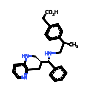 C[C@@H](CN[C@H](c1ccccc1)[C@H]1CNc2cccnc2C1)c1ccc(CC(=O)O)cc1